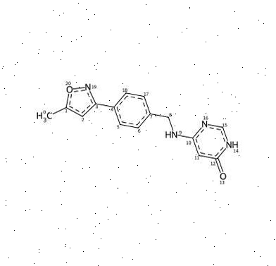 Cc1cc(-c2ccc(CNc3cc(=O)[nH]cn3)cc2)no1